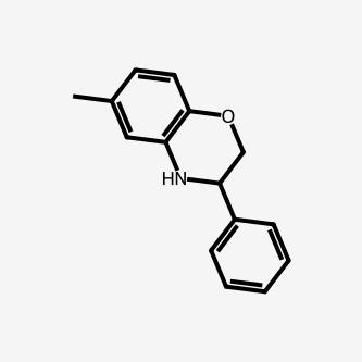 Cc1ccc2c(c1)NC(c1ccccc1)CO2